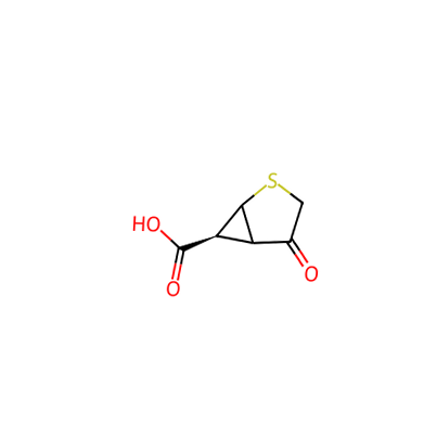 O=C1CSC2C1[C@H]2C(=O)O